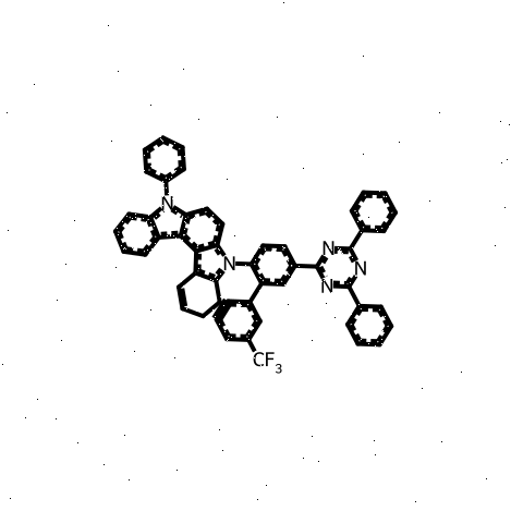 FC(F)(F)c1cc#cc(-c2cc(-c3nc(-c4ccccc4)nc(-c4ccccc4)n3)ccc2-n2c3c(c4c5c6ccccc6n(-c6ccccc6)c5ccc42)C=CCC3)c1